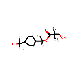 CCC(C)(CO)C(=O)OC(C1CCC(C(O)(C(F)(F)F)C(F)(F)F)CC1)(C(F)(F)F)C(F)(F)F